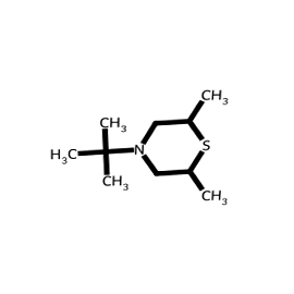 CC1CN(C(C)(C)C)CC(C)S1